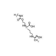 CNC(=O)OCCN[C@@H](CCCCNC(C)=NO)C(=O)O